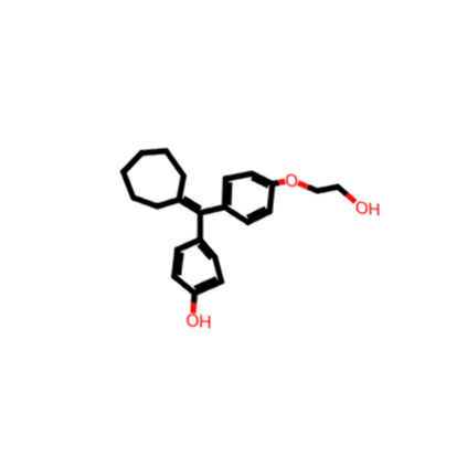 OCCOc1ccc(C(=C2CCCCCC2)c2ccc(O)cc2)cc1